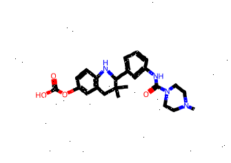 CN1CCN(C(=O)Nc2cccc(C3Nc4ccc(OC(=O)O)cc4CC3(C)C)c2)CC1